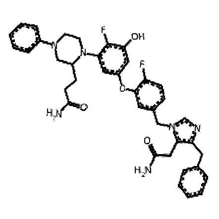 NC(=O)CCC1CN(c2ccccc2)CCN1c1cc(Oc2cc(Cn3cnc(Cc4ccccc4)c3CC(N)=O)ccc2F)cc(O)c1F